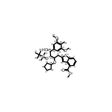 COC(=O)c1cccc2sc(CC(OC3CCCC3)[C@H](O[Si](C)(C)C(C)(C)C)[C@H](O)c3cc(OC)c(C)c(OC)c3)cc12